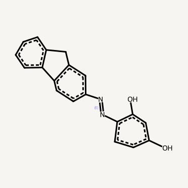 Oc1ccc(/N=N/c2ccc3c(c2)Cc2ccccc2-3)c(O)c1